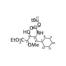 CCOC(=O)C(OC)C(O)C(CC1CCCCC1)NC(=O)OC(C)(C)C